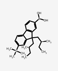 CC[C@H](C)CC1(C[C@@H](C)CC)c2cc(B(O)O)ccc2-c2ccc([Si](C)(C)C)cc21